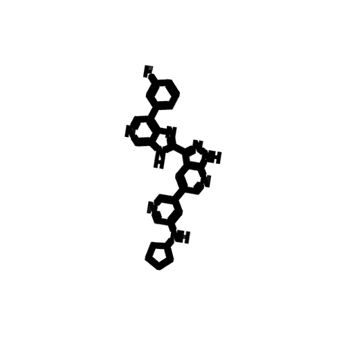 Fc1cccc(-c2cncc3[nH]c(-c4n[nH]c5ncc(-c6cncc(NC7CCCC7)c6)cc45)nc23)c1